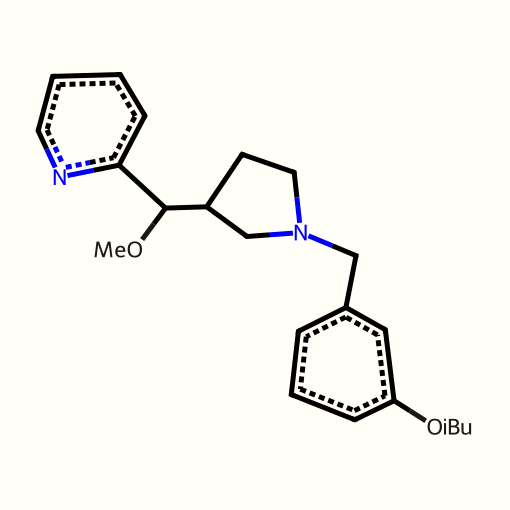 COC(c1ccccn1)C1CCN(Cc2cccc(OCC(C)C)c2)C1